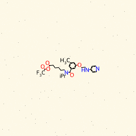 Cc1cc(OCCNc2ccncc2)cc(C(=O)N(CCCCCC(=O)OC(=O)C(F)(F)F)C(C)C)c1